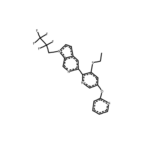 CCSc1cc(Oc2ccccn2)cnc1-c1cc2ccn(CC(F)(F)C(F)(F)F)c2cn1